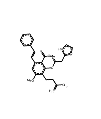 C=C(C)CCc1c(OC)cc(/C=C/c2ccccc2)c(C(=O)OC)c1OC(=O)Cc1ncc[nH]1